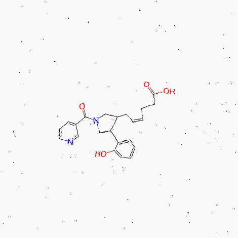 O=C(O)CC/C=C\CC1CN(C(=O)c2cccnc2)CC1c1ccccc1O